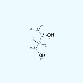 CC(C)C(O)C(C)(C)C(C)O